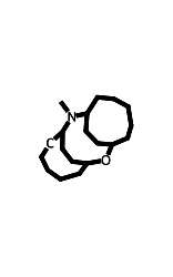 CN1C2CCCCCC(CC2)OC2CCCCCC1CC2